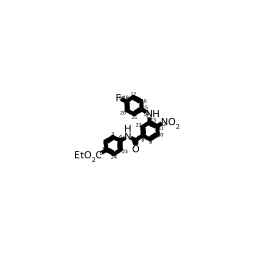 CCOC(=O)c1ccc(NC(=O)c2ccc([N+](=O)[O-])c(Nc3ccc(F)cc3)c2)cc1